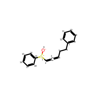 [O-][S+](C=C=CCCc1ccccc1)c1ccccc1